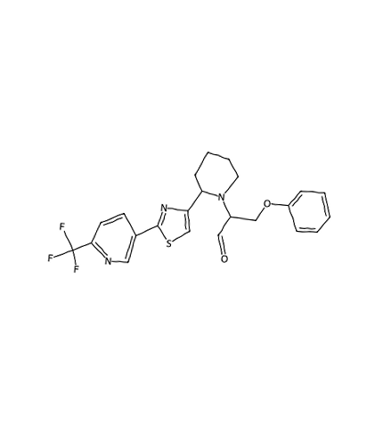 O=CC(COc1ccccc1)N1CCCCC1c1csc(-c2ccc(C(F)(F)F)nc2)n1